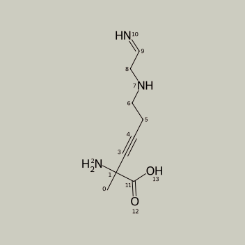 CC(N)(C#CCCNCC=N)C(=O)O